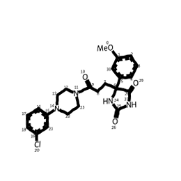 COc1cccc(C2(CCC(=O)N3CCN(c4cccc(Cl)c4)CC3)NC(=O)NC2=O)c1